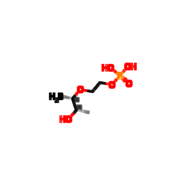 B[C@H](OCCOP(=O)(O)O)[C@H](C)O